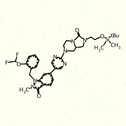 Cn1c(=O)c2ccc(-c3cnc(N4CCN5C(=O)N(CCO[Si](C)(C)C(C)(C)C)CC5C4)nc3)cc2n1Cc1ccccc1OC(F)F